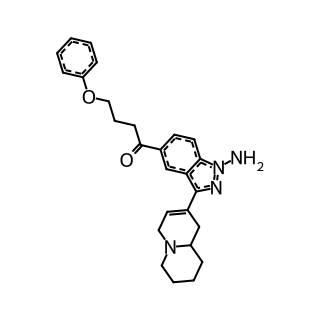 Nn1nc(C2=CCN3CCCCC3C2)c2cc(C(=O)CCCOc3ccccc3)ccc21